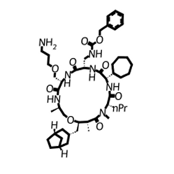 CCC[C@H]1C(=O)N[C@@H](C2CCCCCC2)C(=O)N[C@@H](CNC(=O)OCc2ccccc2)C(=O)N[C@@H](COCCCN)C(=O)N[C@H](C)CO[C@H](C[C@@H]2C[C@@H]3CC[C@@H](C3)C2)[C@@H](C)C(=O)N1C